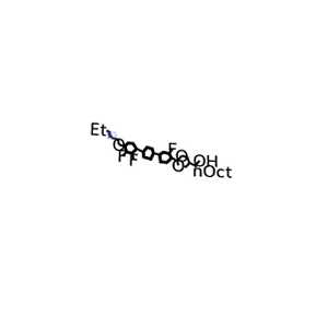 CC/C=C/COc1ccc(-c2ccc(-c3ccc(C4OCC(C(O)CCCCCCCC)CO4)c(F)c3)cc2)c(F)c1F